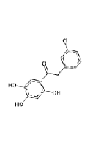 O=C(Cc1cccc(Cl)c1)c1cc(O)c(O)cc1O